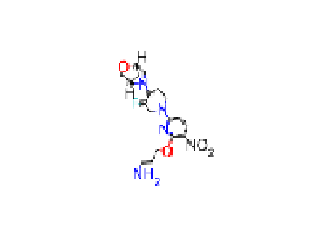 NCCCOc1nc(N2CC[C@H](N3C[C@@H]4C[C@H]3CO4)[C@H](F)C2)ccc1[N+](=O)[O-]